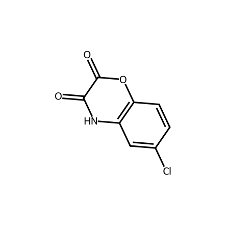 O=c1[nH]c2cc(Cl)ccc2oc1=O